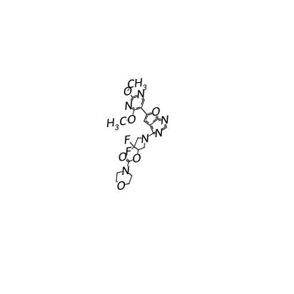 COc1ncc(-c2cc3c(N4CC(OC(=O)N5CCOCC5)C(F)(F)C4)ncnc3o2)c(OC)n1